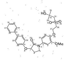 COc1cc(N2CCC(Oc3ccc(-c4ccccc4)cc3)C2=O)ccc1OCCS(=O)(=O)CC(C)(C)O